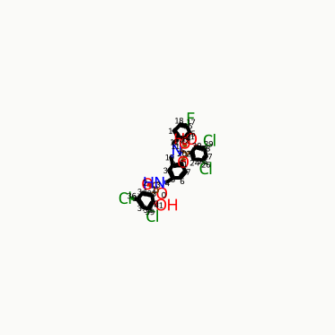 O=S(=O)(NCc1cccc(CN(Cc2ccc(F)cc2)S(=O)(=O)c2cc(Cl)cc(Cl)c2O)c1)c1cc(Cl)cc(Cl)c1O